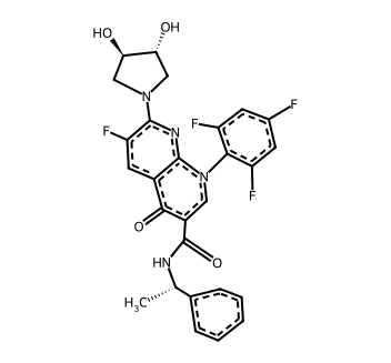 C[C@H](NC(=O)c1cn(-c2c(F)cc(F)cc2F)c2nc(N3C[C@@H](O)[C@H](O)C3)c(F)cc2c1=O)c1ccccc1